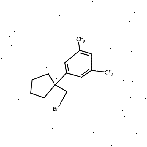 FC(F)(F)c1cc(C(F)(F)F)cc(C2(CBr)CCCC2)c1